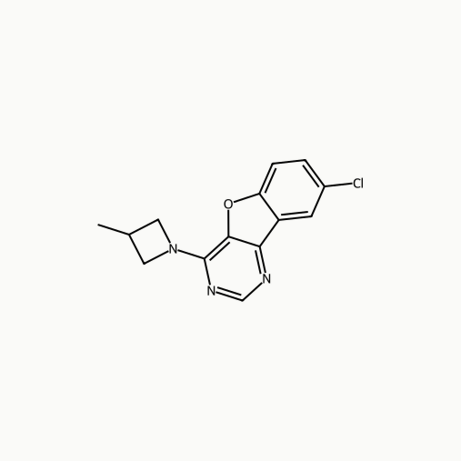 CC1CN(c2ncnc3c2oc2ccc(Cl)cc23)C1